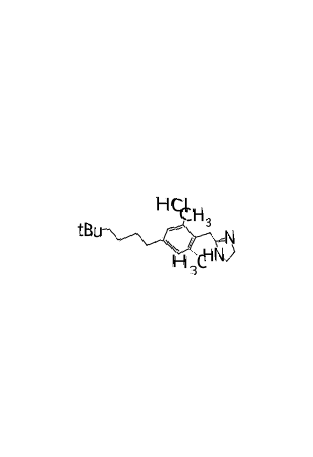 Cc1cc(CCCCC(C)(C)C)cc(C)c1CC1=NCCN1.Cl